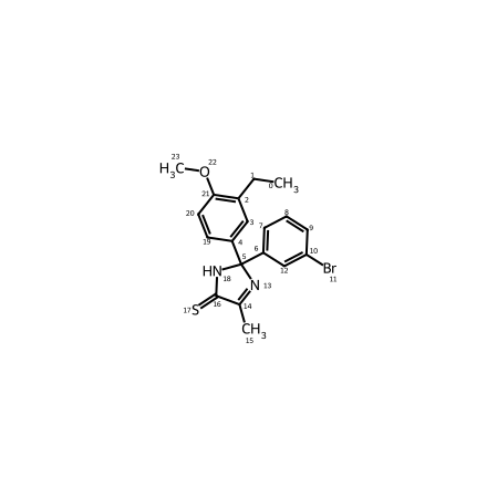 CCc1cc(C2(c3cccc(Br)c3)N=C(C)C(=S)N2)ccc1OC